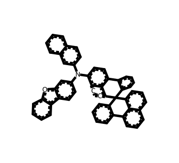 c1ccc2c(c1)-c1cccc3cccc(c13)C21c2ccccc2-c2ccc(N(c3ccc4ccccc4c3)c3ccc4c(c3)oc3ccccc34)c3cccc1c23